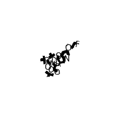 CC(C)(C)OC(=O)N[C@@H](C[C@H](Cc1ccc(OCCF)cn1)C(=O)OC(C)(C)C)C(=O)OC(C)(C)C